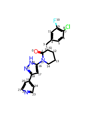 O=C1[C@H](Cc2ccc(Cl)c(F)c2)CCCN1c1cc(-c2ccncc2)n[nH]1